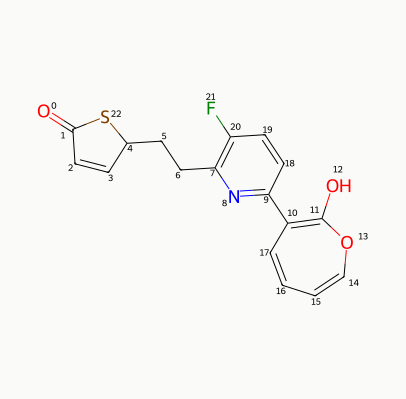 O=C1C=CC(CCc2nc(C3=C(O)OC=CC=C3)ccc2F)S1